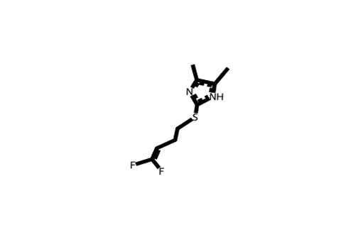 Cc1nc(SCCC=C(F)F)[nH]c1C